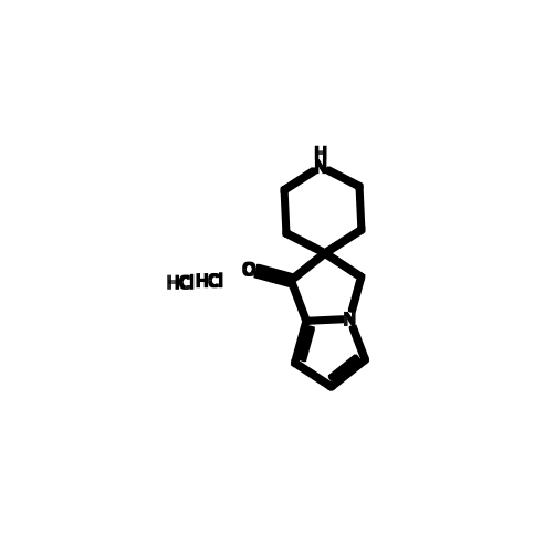 Cl.Cl.O=C1c2cccn2CC12CCNCC2